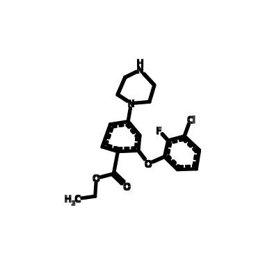 CCOC(=O)c1ccc(N2CCNCC2)cc1Oc1cccc(Cl)c1F